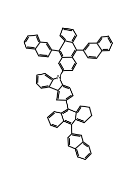 C1=c2c(-c3ccc4ccccc4c3)c3ccccc3c(-c3ccc4c(c3)c3ccccc3n4-c3ccc4c(-c5ccc6ccccc6c5)c5ccccc5c(-c5ccc6ccccc6c5)c4c3)c2=CCC1